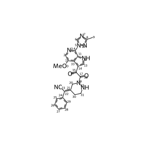 COc1cnc(-n2cnc(C)n2)c2[nH]cc(C(=O)C(=O)N3C/C(=C(\C#N)c4ccccc4)CCN3)c12